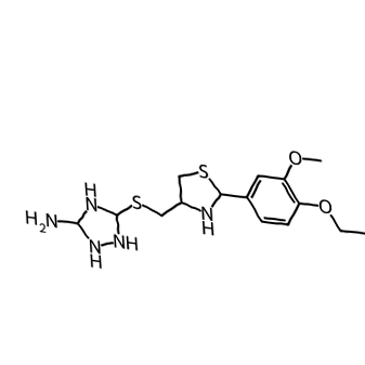 CCOc1ccc(C2NC(CSC3NNC(N)N3)CS2)cc1OC